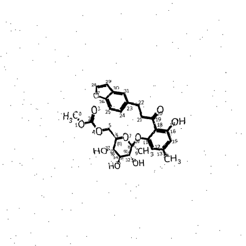 COC(=O)OC[C@H]1O[C@@](C)(Oc2cc(C)cc(O)c2C(=O)CCc2ccc3occc3c2)[C@H](O)[C@@H](O)[C@@H]1O